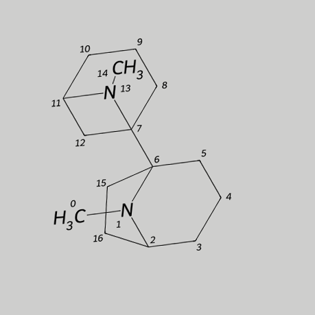 CN1C2CCCC1(C13CCCC(C1)N3C)CC2